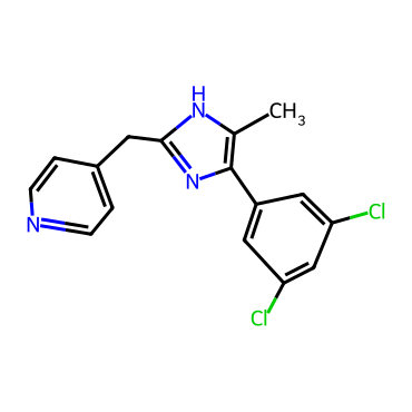 Cc1[nH]c(Cc2ccncc2)nc1-c1cc(Cl)cc(Cl)c1